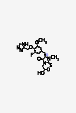 COc1cc(/C=C2\C(=O)N(CC(=O)O)C(=S)N2C)cc(F)c1OCc1nnc[nH]1